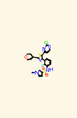 Cn1ccc(S(=O)(=O)Nc2cccc(-c3nc(C4CCOCC4)sc3-c3ccnc(Cl)n3)c2F)c1